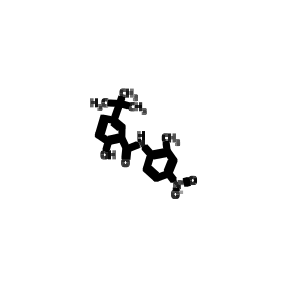 Cc1cc([N+](=O)[O-])ccc1NC(=O)c1cc(C(C)(C)C)ccc1O